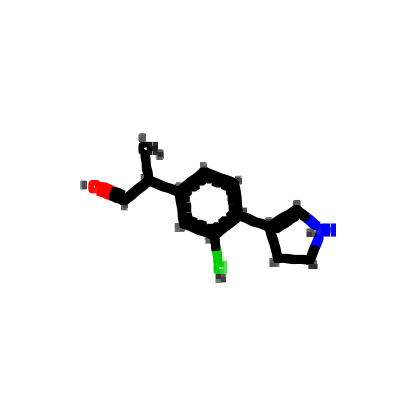 CC([C]=O)c1ccc(C2=CNCC2)c(Cl)c1